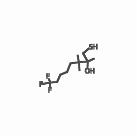 CC(C)(CCCCC(F)(F)F)C(C)(O)CS